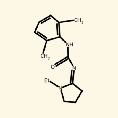 CCN1CCCC1=NC(=O)Nc1c(C)cccc1C